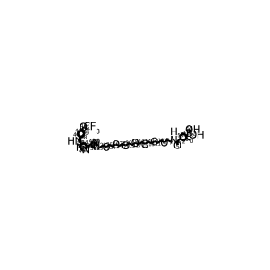 Cc1cc(C(=O)NCCOCCOCCOCCOCCOCCOCCOCCn2cc(-c3cc(Nc4ccc(OC(F)(F)F)cc4)ncn3)cn2)ccc1B(O)O